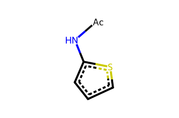 [CH2]C(=O)Nc1cccs1